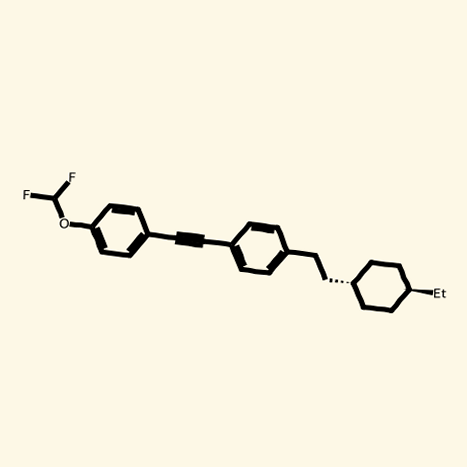 CC[C@H]1CC[C@H](CCc2ccc(C#Cc3ccc(OC(F)F)cc3)cc2)CC1